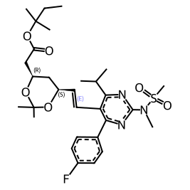 CCC(C)(C)OC(=O)C[C@H]1C[C@@H](/C=C/c2c(-c3ccc(F)cc3)nc(N(C)S(C)(=O)=O)nc2C(C)C)OC(C)(C)O1